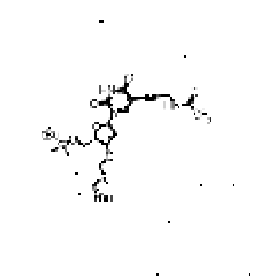 CC(C)(C)CSCOC1C[C@H](n2cc(C#CCNC(=O)C(F)(F)F)c(=O)[nH]c2=O)O[C@@H]1CO[Si](C)(C)C(C)(C)C